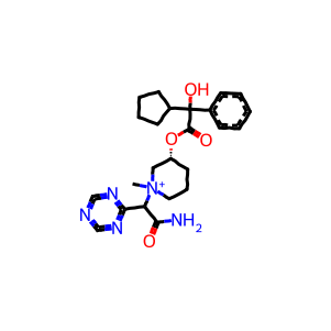 C[N+]1(C(C(N)=O)c2ncncn2)CCC[C@@H](OC(=O)C(O)(c2ccccc2)C2CCCC2)C1